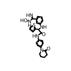 N=C(NO)c1cccc(NC(C(=O)Nc2ccc(N3CCCCC3=O)cc2)c2cccs2)c1